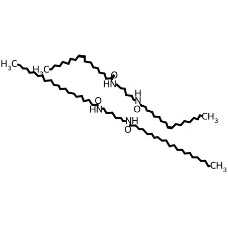 CCCCCCCC/C=C\CCCCCCCC(=O)NCCCCCCNC(=O)CCCCCCC/C=C\CCCCCCCC.CCCCCCCCCCCCCCCCCCCCCC(=O)NCCCCCCNC(=O)CCCCCCCCCCCCCCCCCCCCC